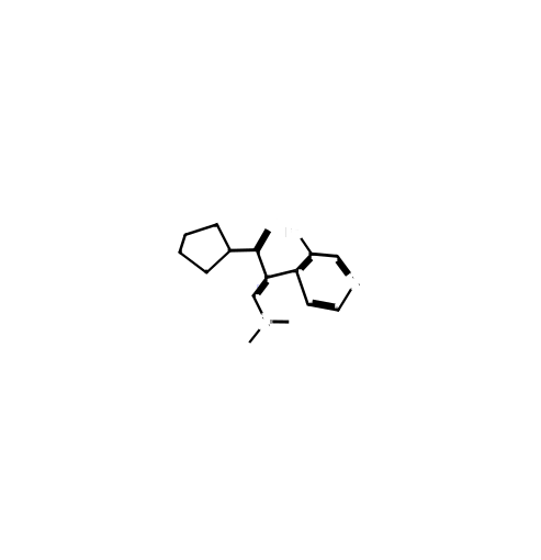 CN(C)/C=C(/C(=O)C1CCCC1)c1ccncc1Br